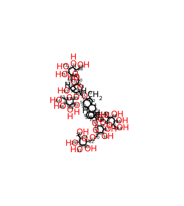 C=C1CC23CC[C@H]4[C@@](C)(CCC[C@@]4(C)C(=O)O[C@@H]4OC(COC[C@@H]5OC(CO)[C@@H](O)C(O)C5O)[C@@H](O)C(O)C4O[C@@H]4OC(CO)[C@@H](O)C(O)C4O)[C@@H]2CC[C@]1(OC[C@@H]1OC(CO)C2(OC[C@@H]4OC(CO)[C@@H](O)C(O)C4O)CC(C1O[C@@H]1OC(CO)[C@@H](O)C(O)C1O)[C@@H]2O)C3